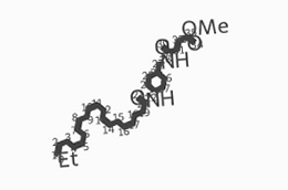 CC/C=C\C/C=C\C/C=C\C/C=C\C/C=C\C/C=C\CCC(=O)NC1CCC(CNC(=O)/C=C/C(=O)OC)CC1